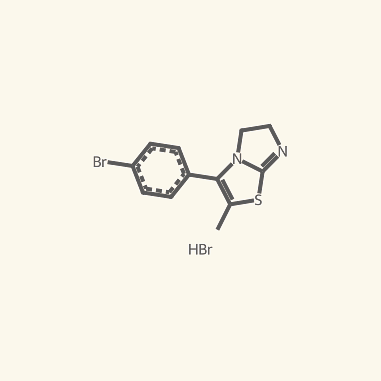 Br.CC1=C(c2ccc(Br)cc2)N2CCN=C2S1